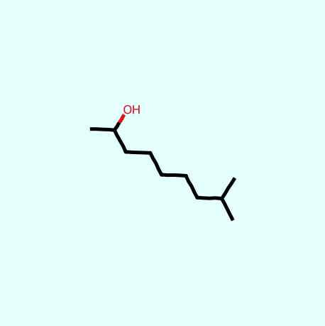 CC(C)CCCCCC(C)O